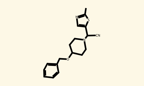 Cc1ncc(C(C#N)N2CCC(OCc3ccccc3)CC2)s1